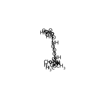 Cc1sc2c(c1C)C(c1ccc(Cl)cc1)=N[C@@H](CC(=O)NCCOCCOCCOCCNCCCC(=O)Nc1cccc3c1CN(C1CCC(=O)NC1=O)C3=O)c1nnc(C)n1-2